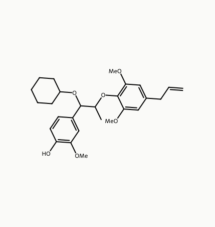 C=CCc1cc(OC)c(OC(C)C(OC2CCCCC2)c2ccc(O)c(OC)c2)c(OC)c1